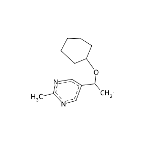 [CH2]C(OC1CCCCC1)c1cnc(C)nc1